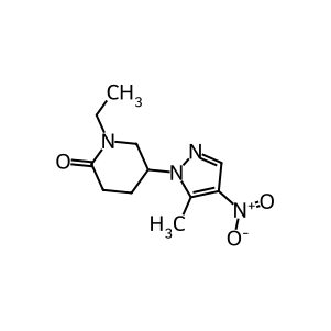 CCN1CC(n2ncc([N+](=O)[O-])c2C)CCC1=O